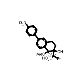 CCC(C(=O)O)C1(O)CCc2cc(-c3ccc([N+](=O)[O-])cc3)ccc2C1(OC)OC